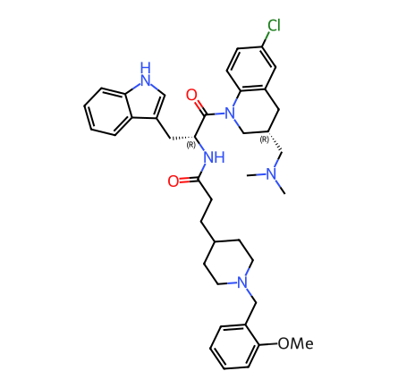 COc1ccccc1CN1CCC(CCC(=O)N[C@H](Cc2c[nH]c3ccccc23)C(=O)N2C[C@@H](CN(C)C)Cc3cc(Cl)ccc32)CC1